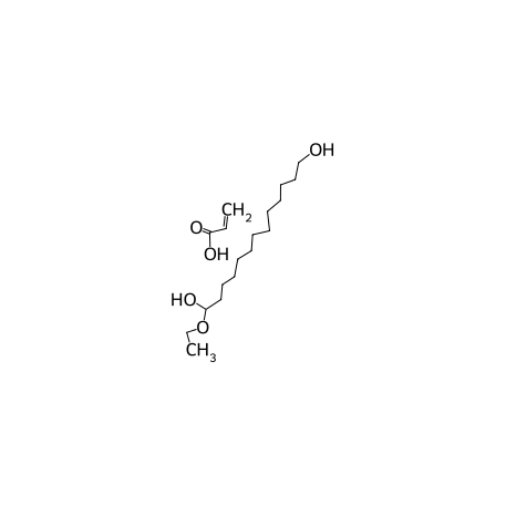 C=CC(=O)O.CCOC(O)CCCCCCCCCCCCO